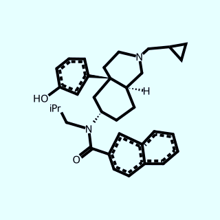 CC(C)CN(C(=O)c1ccc2ccccc2c1)[C@H]1CC[C@@H]2CN(CC3CC3)CC[C@@]2(c2cccc(O)c2)C1